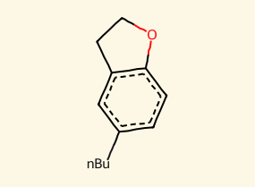 CCCCc1ccc2c(c1)CCO2